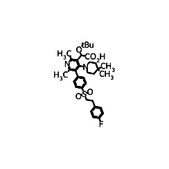 Cc1nc(C)c(C(OC(C)(C)C)C(=O)O)c(N2CCC(C)(C)CC2)c1-c1ccc(S(=O)(=O)CCc2ccc(F)cc2)cc1